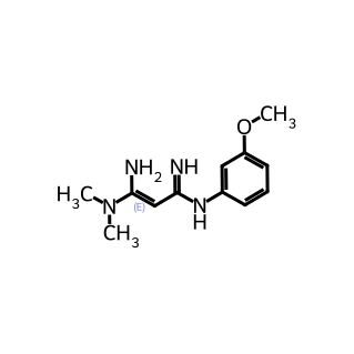 COc1cccc(NC(=N)/C=C(\N)N(C)C)c1